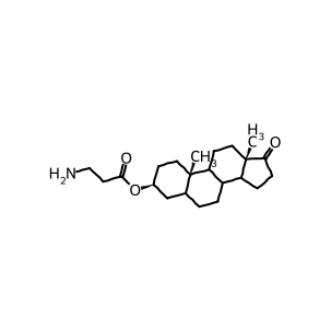 C[C@]12CC[C@H](OC(=O)CCN)CC1CCC1C2CC[C@]2(C)C(=O)CCC12